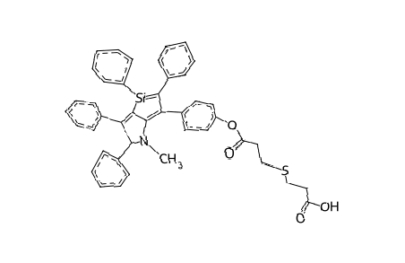 CN1C2=C(c3ccc(OC(=O)CCSCCC(=O)O)cc3)C(c3ccccc3)=[Si](c3ccccc3)C2=C(c2ccccc2)C1c1ccccc1